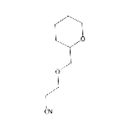 N#CCCOCC1CCCCO1